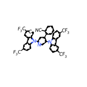 N#Cc1ccccc1-c1cc(-n2c3ccc(C(F)(F)F)cc3c3cc(C(F)(F)F)ccc32)ncc1-n1c2ccc(C(F)(F)F)cc2c2cc(C(F)(F)F)ccc21